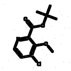 COc1c(Cl)ccnc1C(=O)OC(C)(C)C